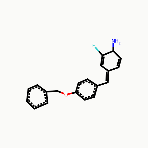 NC1C=C/C(=C/c2ccc(OCc3ccccc3)cc2)C=C1F